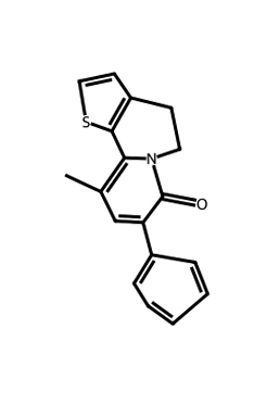 Cc1cc(-c2ccccc2)c(=O)n2c1-c1sccc1CC2